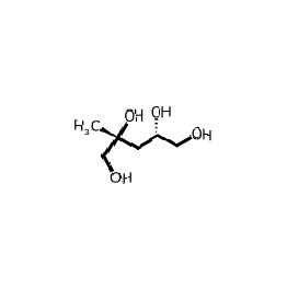 C[C@](O)(CO)C[C@H](O)CO